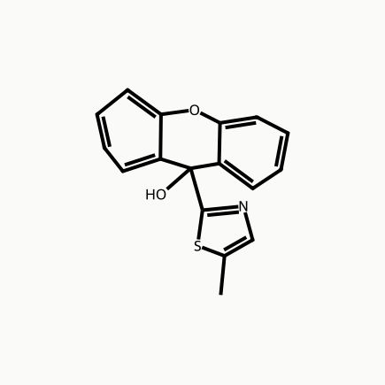 Cc1cnc(C2(O)c3ccccc3Oc3ccccc32)s1